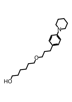 OCCCCCCOCCCc1ccc(N2CCCCC2)cc1